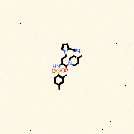 Cc1ccc(S(=O)(=O)NC(CCn2cccc2C#N)C(=O)N2CCC(C)CC2)c(C)c1